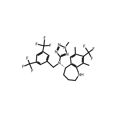 Cc1cc2c(c(C)c1C(F)(F)F)NCCC[C@@H]2N(Cc1cc(C(F)(F)F)cc(C(F)(F)F)c1)c1nnn(C)n1